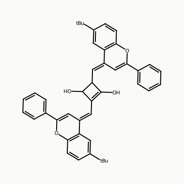 CC(C)(C)c1ccc2c(c1)/C(=C/C1=C(O)C(/C=C3\C=C(c4ccccc4)Oc4ccc(C(C)(C)C)cc43)C1O)C=C(c1ccccc1)O2